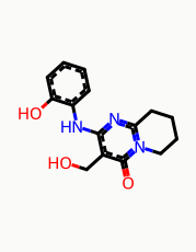 O=c1c(CO)c(Nc2ccccc2O)nc2n1CCCC2